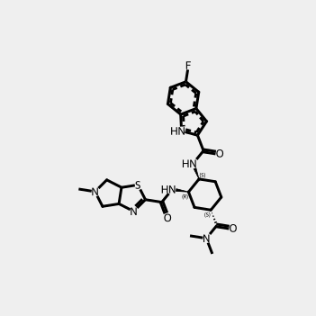 CN1CC2N=C(C(=O)N[C@@H]3C[C@@H](C(=O)N(C)C)CC[C@@H]3NC(=O)c3cc4cc(F)ccc4[nH]3)SC2C1